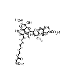 CCCCCCCCCCCC(=O)OCCCCCCCC(=O)N[C@H]1C(O)O[C@H](CO)[C@@H](O)[C@@H]1O[C@H](C)C(=O)N[C@@H](C)C(=O)N[C@H](CCC(=O)O)C(N)=O